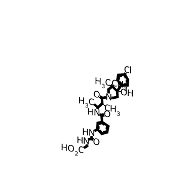 CC(NC(=O)c1cccc(NC(=O)NCC(=O)O)c1)[C@@H](C)C(=O)N1CC[C@](O)(c2ccc(Cl)cc2)C(C)(C)C1